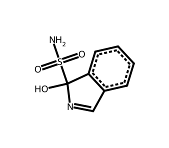 NS(=O)(=O)C1(O)N=Cc2ccccc21